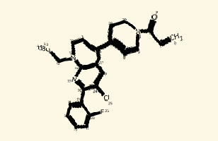 C=CC(=O)N1CC=C(C2=CCN(CC(C)(C)C)c3nc(-c4ccccc4F)c(Cl)cc32)CC1